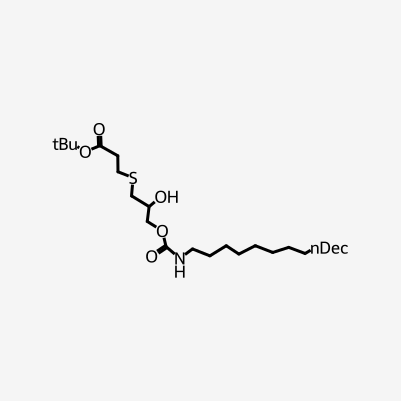 CCCCCCCCCCCCCCCCCCNC(=O)OCC(O)CSCCC(=O)OC(C)(C)C